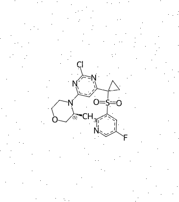 C[C@H]1COCCN1c1cc(C2(S(=O)(=O)c3cncc(F)c3)CC2)nc(Cl)n1